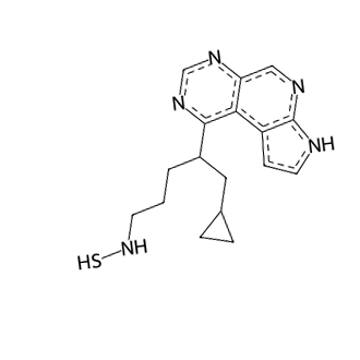 SNCCCC(CC1CC1)c1ncnc2cnc3[nH]ccc3c12